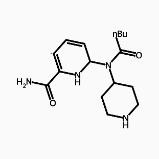 CCCCC(=O)N(C1CCNCC1)C1C=C[C]=C(C(N)=O)N1